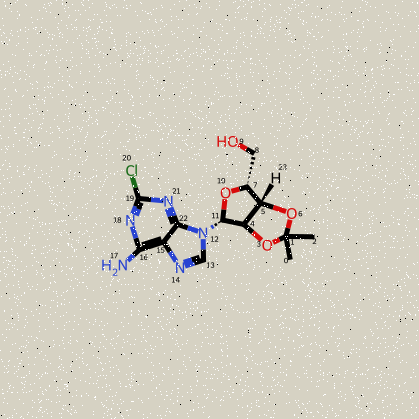 CC1(C)OC2[C@@H](O1)[C@@H](CO)O[C@H]2n1cnc2c(N)nc(Cl)nc21